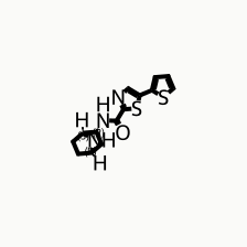 O=C(N[C@@H]1C[C@H]2CC[C@@H]1N2)c1ncc(-c2cccs2)s1